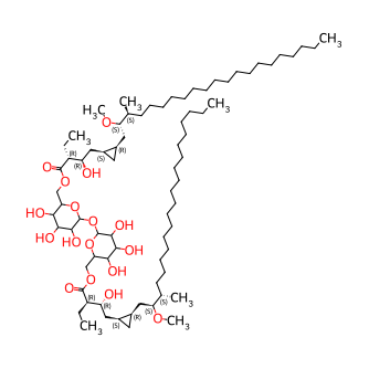 CCCCCCCCCCCCCCCCCC[C@H](C)[C@H](C[C@H]1C[C@H]1C[C@@H](O)[C@@H](CC)C(=O)OCC1OC(OC2OC(COC(=O)[C@H](CC)[C@H](O)C[C@@H]3C[C@@H]3C[C@H](OC)[C@@H](C)CCCCCCCCCCCCCCCCCC)C(O)C(O)C2O)C(O)C(O)C1O)OC